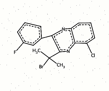 CC(C)(Br)c1nc2c(Cl)cccc2nc1-c1cccc(F)c1